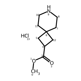 COC(=O)C1CC2(CCNCC2)C1.Cl